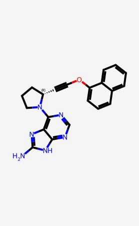 Nc1nc2c(N3CCC[C@@H]3C#COc3cccc4ccccc34)ncnc2[nH]1